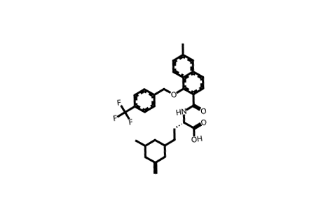 C=C1CC(C)CC(CC[C@H](NC(=O)c2ccc3cc(C)ccc3c2OCc2ccc(C(F)(F)F)cc2)C(=O)O)C1